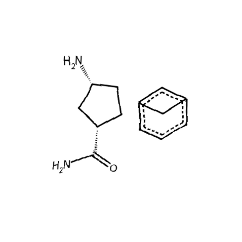 NC(=O)[C@H]1CC[C@@H](N)C1.c1cc2cc(c1)C2